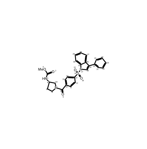 COC(=O)N[C@@H]1CCN(C(=O)c2ccc(S(=O)(=O)n3cc(-c4ccccc4)c4ccccc43)cc2)C1